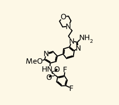 COc1ncc(-c2ccc3nc(N)n(CCN4CCOCC4)c3c2)cc1NS(=O)(=O)c1ccc(F)cc1F